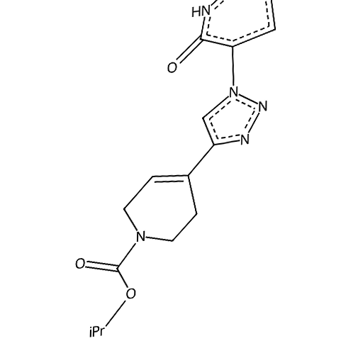 CC(C)OC(=O)N1CC=C(c2cn(-c3ccc[nH]c3=O)nn2)CC1